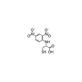 O=C(O)C(CS)Nc1ccc([N+](=O)[O-])cc1[N+](=O)[O-]